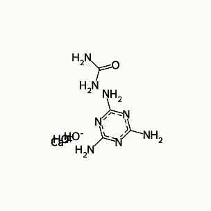 NC(N)=O.Nc1nc(N)nc(N)n1.[Ca+2].[OH-].[OH-]